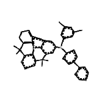 Cc1cc(C)cc(N(c2ccc(-c3ccccc3)cc2)c2cc3c4c(c2)c2c5n4-c4c(cccc4C3(C)C)C(C)(C)C=5CCC=2)c1